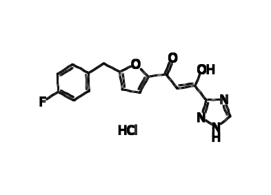 Cl.O=C(C=C(O)c1nc[nH]n1)c1ccc(Cc2ccc(F)cc2)o1